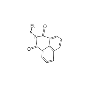 CCSN1C(=O)C2=C=C=Cc3cccc(c32)C1=O